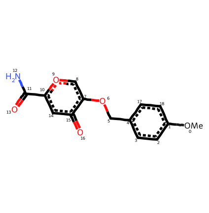 COc1ccc(COc2coc(C(N)=O)cc2=O)cc1